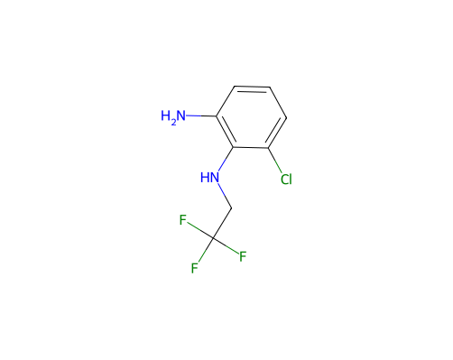 Nc1cccc(Cl)c1NCC(F)(F)F